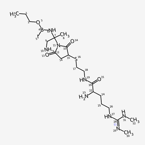 CCCOB(I)NC(C)(CN)N1C(=O)CC(SCCNC(=O)C(N)CCCN/C(=N/C)NC)C1=O